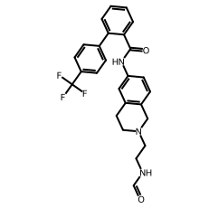 O=CNCCN1CCc2cc(NC(=O)c3ccccc3-c3ccc(C(F)(F)F)cc3)ccc2C1